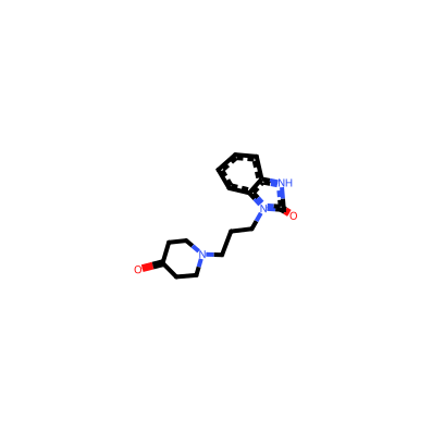 O=C1CCN(CCCn2c(=O)[nH]c3ccccc32)CC1